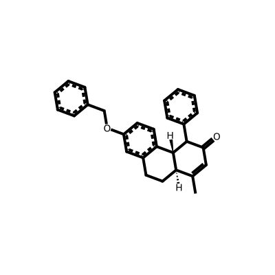 CC1=CC(=O)C(c2ccccc2)[C@H]2c3ccc(OCc4ccccc4)cc3CC[C@H]12